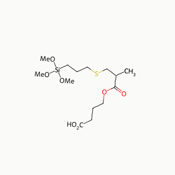 CO[Si](CCCSCC(C)C(=O)OCCCC(=O)O)(OC)OC